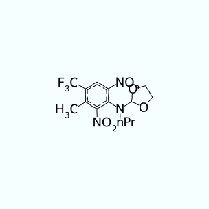 CCCN(c1c([N+](=O)[O-])cc(C(F)(F)F)c(C)c1[N+](=O)[O-])C1OCCO1